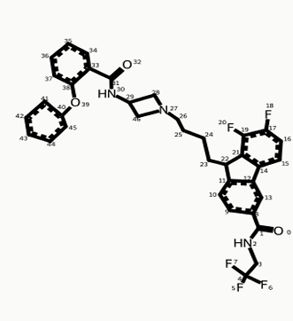 O=C(NCC(F)(F)F)c1ccc2c(c1)-c1ccc(F)c(F)c1C2CCCCN1CC(NC(=O)c2ccccc2Oc2ccccc2)C1